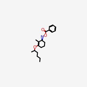 CCCCC(C)OC1=C(C)/C(=N/OC(=O)c2ccccc2)CCC1